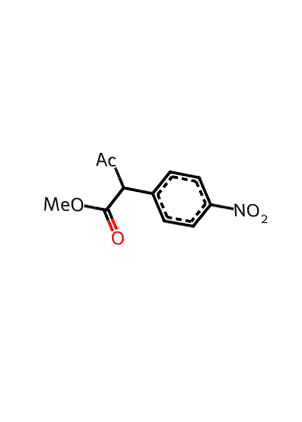 COC(=O)C(C(C)=O)c1ccc([N+](=O)[O-])cc1